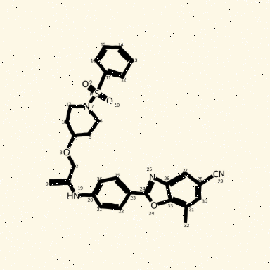 C=C(COC1CCN(S(=O)(=O)c2ccccc2)CC1)Nc1ccc(-c2nc3cc(C#N)cc(C)c3o2)cc1